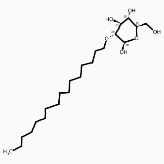 CCCCCCCCCCCCCCCCO[C@@H]1[C@@H](O)[C@H](O)[C@@H](CO)O[C@H]1O